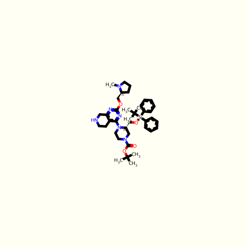 CN1CCC[C@H]1COc1nc2c(c(N3CCN(C(=O)OC(C)(C)C)C[C@H]3CO[Si](c3ccccc3)(c3ccccc3)C(C)(C)C)n1)CCNC2